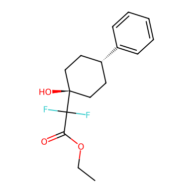 CCOC(=O)C(F)(F)[C@]1(O)CC[C@H](c2ccccc2)CC1